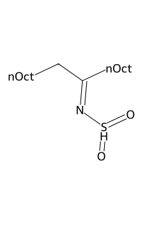 CCCCCCCCCC(CCCCCCCC)=N[SH](=O)=O